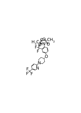 CS(=O)(=O)N(c1ccc(OC2CCN(c3ccc(C(F)(F)F)cn3)CC2)cc1C(F)(F)F)S(C)(=O)=O